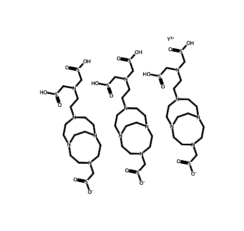 O=S([O-])CN1CCN2CCN(CCN(CCN(CS(=O)O)CS(=O)O)CC2)CC1.O=S([O-])CN1CCN2CCN(CCN(CCN(CS(=O)O)CS(=O)O)CC2)CC1.O=S([O-])CN1CCN2CCN(CCN(CCN(CS(=O)O)CS(=O)O)CC2)CC1.[Y+3]